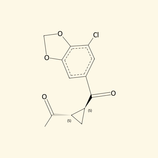 CC(=O)[C@H]1C[C@@H]1C(=O)c1cc(Cl)c2c(c1)OCO2